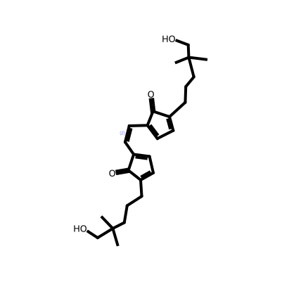 CC(C)(CO)CCCC1=CC=C(/C=C\C2=CC=C(CCCC(C)(C)CO)C2=O)C1=O